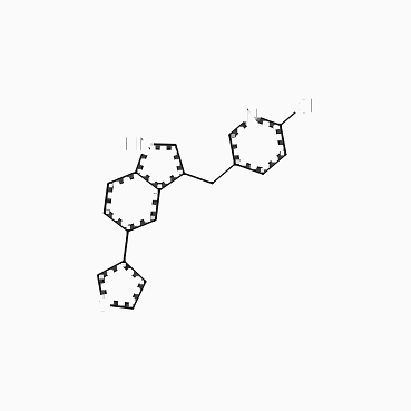 Clc1ccc(Cc2c[nH]c3ccc(-c4ccsc4)cc23)cn1